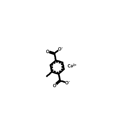 Cc1cc(C(=O)[O-])ccc1C(=O)[O-].[Ca+2]